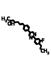 C=CCc1ccc(-c2ncc(-c3ccc(/C=C/CCCC(C)O)cc3)cn2)cc1F